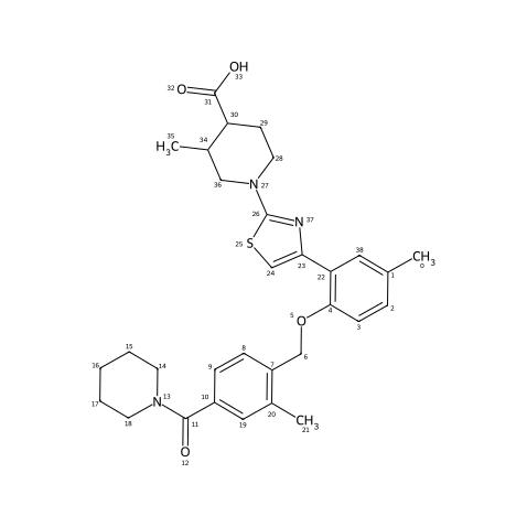 Cc1ccc(OCc2ccc(C(=O)N3CCCCC3)cc2C)c(-c2csc(N3CCC(C(=O)O)C(C)C3)n2)c1